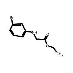 CCOC(=O)CNc1cccc(Br)c1